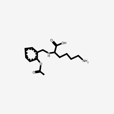 CC(=O)Oc1ccccc1CNC(CCCCN)C(=O)O